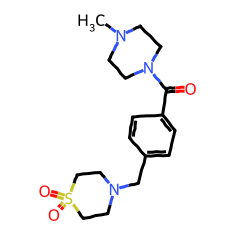 CN1CCN(C(=O)c2ccc(CN3CCS(=O)(=O)CC3)cc2)CC1